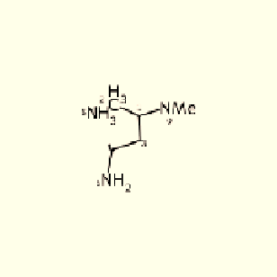 CNC(C)CCN.N